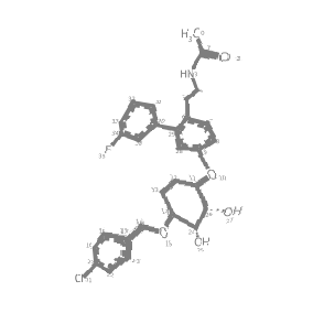 CC(=O)NCCc1ccc(OC2CCC(OCc3ccc(Cl)cc3)[C@@H](O)[C@H]2O)cc1-c1cccc(F)c1